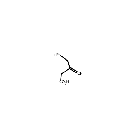 [CH]=C(CCCC)CC(=O)O